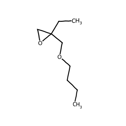 CCCCOCC1(CC)CO1